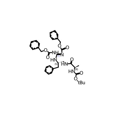 C[C@@H](NC(=O)OC(C)(C)C)C(=O)NC[C@H](Cc1ccccc1)N/C(=N/C(=O)OCc1ccccc1)NC(=O)OCc1ccccc1